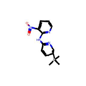 C[Si](C)(C)c1ccc(Nc2ncccc2[N+](=O)[O-])nc1